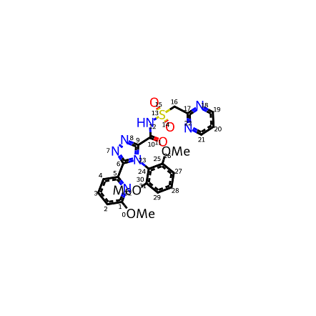 COc1cccc(-c2nnc(C(=O)NS(=O)(=O)Cc3ncccn3)n2-c2c(OC)cccc2OC)n1